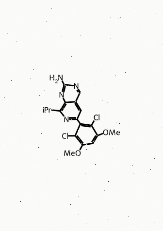 COc1cc(OC)c(Cl)c(-c2cc3cnc(N)nc3c(C(C)C)n2)c1Cl